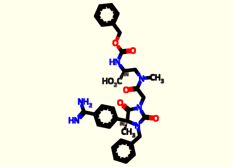 CN(C[C@H](NC(=O)OCc1ccccc1)C(=O)O)C(=O)CN1C(=O)N(Cc2ccccc2)[C@@](C)(c2ccc(C(=N)N)cc2)C1=O